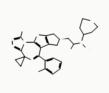 Cc1nnc2n1-c1sc3c(c1C(c1ccccc1Cl)=NC21CC1)C[C@H](CC(O)N(C)C1CCOCC1)C3